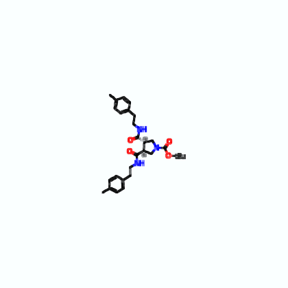 Cc1ccc(CCNC(=O)[C@@H]2CN(C(=O)OC(C)(C)C)C[C@H]2C(=O)NCCc2ccc(C)cc2)cc1